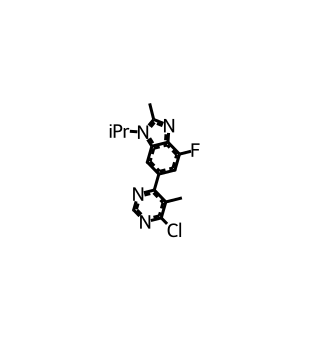 Cc1c(Cl)ncnc1-c1cc(F)c2nc(C)n(C(C)C)c2c1